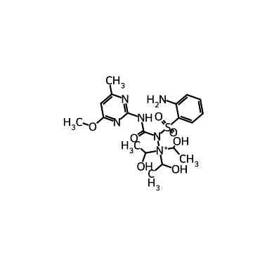 COc1cc(C)nc(NC(=O)N([N+](C(C)O)(C(C)O)C(C)O)S(=O)(=O)c2ccccc2N)n1